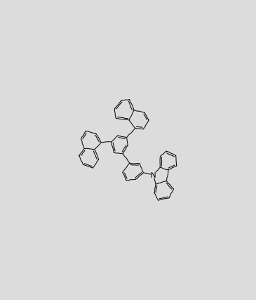 c1cc(-c2cc(-c3cccc4ccccc34)cc(-c3cccc4ccccc34)c2)cc(-n2c3ccccc3c3ccccc32)c1